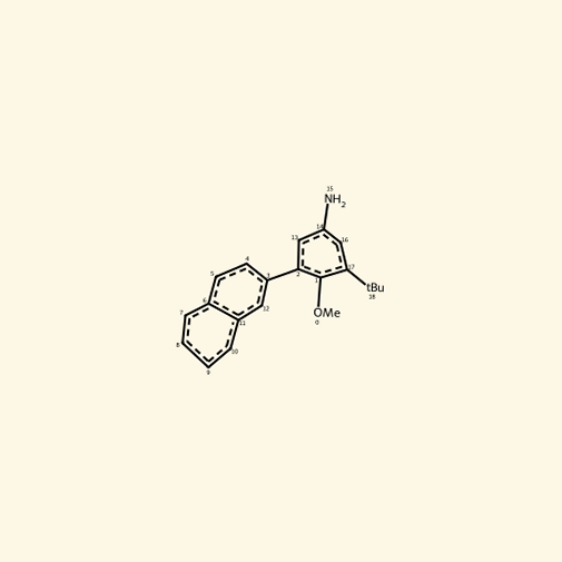 COc1c(-c2ccc3ccccc3c2)cc(N)cc1C(C)(C)C